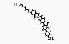 CCCCCCCC1CCC(CCCC2CCC(C3CCC(C4CCC(C)CC4)C(F)C3F)CC2)C(F)C1